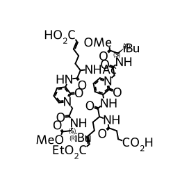 CCOC(=O)C=CCCC(NC(=O)CCC(=O)O)C(=O)Nc1cccn(CC(=O)N[C@H](C(=O)OC)[C@H](C)CC)c1=O.CC[C@@H](C)[C@H](NC(=O)Cn1cccc(NC(=O)C(CCC=CC(=O)O)NC(C)=O)c1=O)C(=O)OC